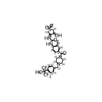 O=C(Nc1ccc(C(=O)N2CCN(Cc3ccc(C(O)(C(F)(F)F)C(F)(F)F)cc3)CC2)cc1F)N[C@H]1CS(=O)(=O)C[C@H]1O